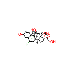 C[C@]12C=CC(=O)C=C1C(F)C[C@H]1[C@@H]3CC[C@](O)(C(=O)CO)[C@@]3(C)C[C@H](O)[C@@]12F